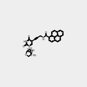 CC[C@@]12COC([C@H](n3cc(C#CCNC(=O)c4ccc5ccc6cccc7ccc4c5c67)c(=O)[nH]c3=O)O1)[C@H]2O